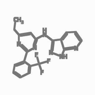 CCc1cc(Nc2n[nH]c3ncccc23)nc(-c2ccccc2C(F)(F)F)n1